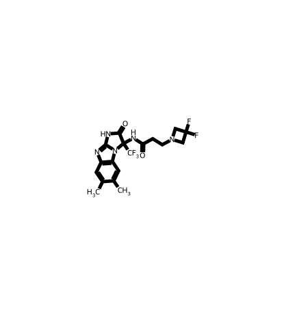 Cc1cc2nc3n(c2cc1C)C(NC(=O)CCN1CC(F)(F)C1)(C(F)(F)F)C(=O)N3